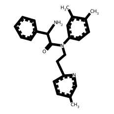 Cc1ccc(CCN(C(=O)C(N)c2ccccc2)c2ccc(C)c(C)c2)nc1